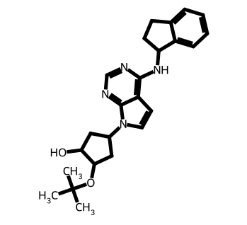 CC(C)(C)OC1CC(n2ccc3c(NC4CCc5ccccc54)ncnc32)CC1O